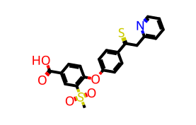 CS(=O)(=O)c1cc(C(=O)O)ccc1Oc1ccc(C(=S)Cc2ccccn2)cc1